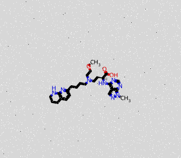 COCCN(CCCCc1ccc2c(n1)NCCC2)CC[C@H](Nc1ncnc2c1cnn2C)C(=O)O